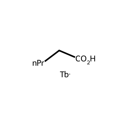 CCCCC(=O)O.[Tb]